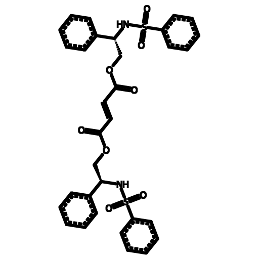 O=C(/C=C/C(=O)OC[C@@H](NS(=O)(=O)c1ccccc1)c1ccccc1)OC[C@@H](NS(=O)(=O)c1ccccc1)c1ccccc1